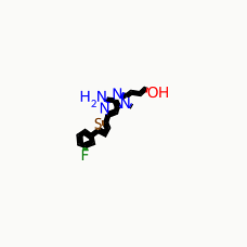 Cn1c(CCCO)nc2c(N)nc(-c3ccc(-c4cccc(F)c4)s3)cc21